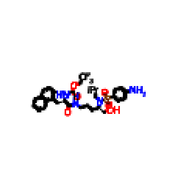 CC(C)CN([C@H](CO)CCCNC(=O)[C@H](Cc1cccc2ccccc12)NC(=O)OCC(F)(F)F)S(=O)(=O)c1ccc(N)cc1